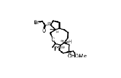 COC[C@@]1(O)CC[C@]2(F)C(C)CC[C@@]3(C)C(CCC[C@@H]2C1)CC[C@@H]3C(=O)CBr